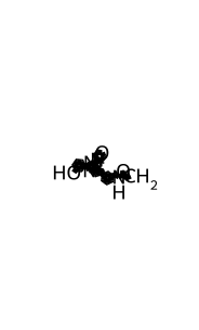 C=CC(=O)NCc1cccc(-c2cc3nc(-c4cccc(O)c4)nc(N4CCOCC4)c3s2)c1